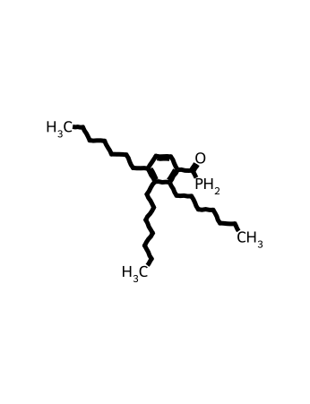 CCCCCCCc1ccc(C(=O)P)c(CCCCCCC)c1CCCCCCC